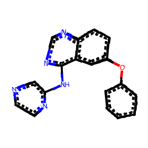 c1ccc(Oc2ccc3ncnc(Nc4cnccn4)c3c2)cc1